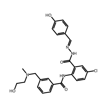 CN(CCO)Cc1cccc(C(=O)Nc2ccc(Cl)cc2C(=O)NN=Cc2ccc(O)cc2)c1